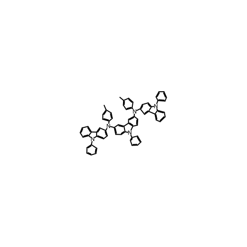 Cc1ccc(N(c2ccc3c(c2)c2ccccc2n3-c2ccccc2)c2ccc3c(c2)c2cc(N(c4ccc(C)cc4)c4ccc5c(c4)c4ccccc4n5-c4ccccc4)ccc2n3-c2ccccc2)cc1